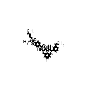 CCCCCN(C)S(=O)(=O)c1ccc(C(=O)N[C@@H](Cc2cc(F)cc(F)c2)[C@@H](O)CNCc2cccc(CC)c2)cc1